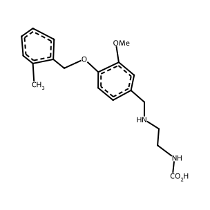 COc1cc(CNCCNC(=O)O)ccc1OCc1ccccc1C